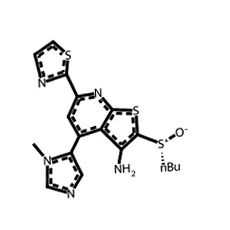 CCCC[S@@+]([O-])c1sc2nc(-c3nccs3)cc(-c3cncn3C)c2c1N